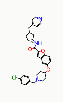 O=C(N[C@H]1CCC(Cc2ccncc2)C1)c1cc2cc(OC3CCN(Cc4ccc(Cl)cc4)CC3)ccc2o1